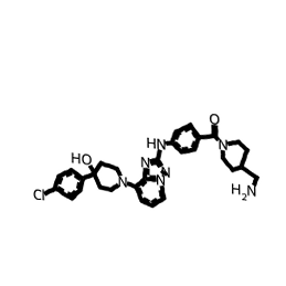 NCC1CCN(C(=O)c2ccc(Nc3nc4c(N5CCC(O)(c6ccc(Cl)cc6)CC5)cccn4n3)cc2)CC1